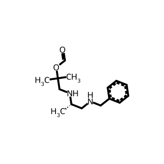 C[C@@H](CNCc1ccccc1)NCC(C)(C)OC=O